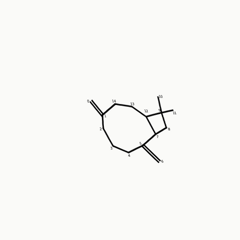 C=C1CCCC(=C)C2CC(C)(C)C2CC1